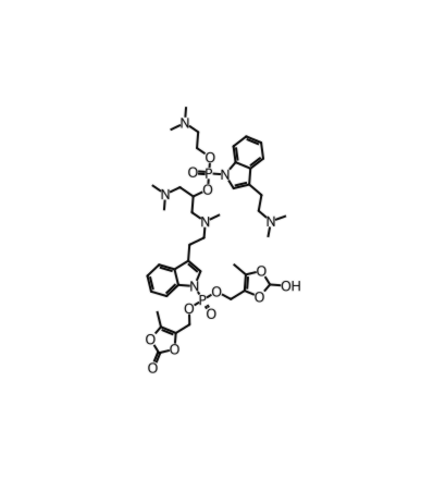 CC1=C(COP(=O)(OCc2oc(=O)oc2C)n2cc(CCN(C)CC(CN(C)C)OP(=O)(OCCN(C)C)n3cc(CCN(C)C)c4ccccc43)c3ccccc32)OC(O)O1